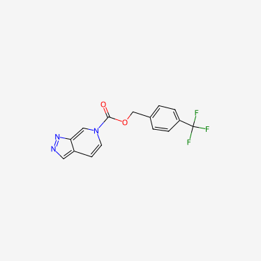 O=C(OCc1ccc(C(F)(F)F)cc1)n1ccc2cnnc-2c1